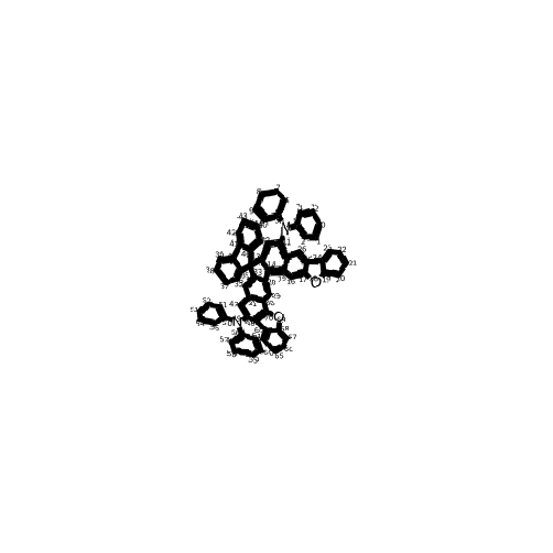 c1ccc(N(c2ccccc2)c2cc3c(c4cc5oc6ccccc6c5cc24)-c2cc4c(cc2C32c3ccccc3-c3ccccc32)cc(N(c2ccccc2)c2ccccc2)c2c3ccccc3oc42)cc1